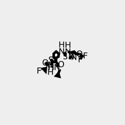 Cn1nc(OC(F)F)cc1NC(=S)N[C@H]1CCc2sc(NC(=O)[C@@H]3C[C@@H]3F)c(C(=O)NCC3CC3)c2C1